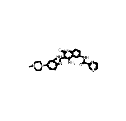 CN1CCN(c2ccc3nc(-c4c(N)c5cc(NC(=O)c6cnccn6)ccc5[nH]c4=O)[nH]c3c2)CC1